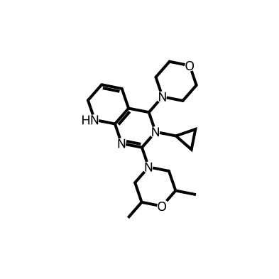 CC1CN(C2=NC3=C(C=CCN3)C(N3CCOCC3)N2C2CC2)CC(C)O1